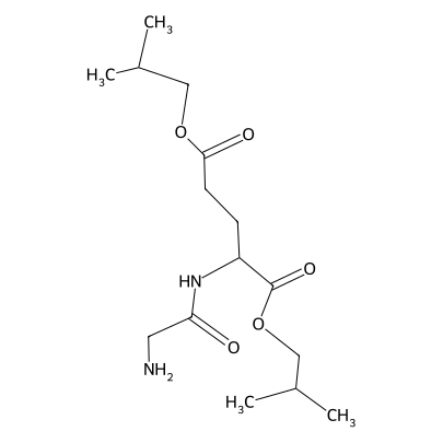 CC(C)COC(=O)CCC(NC(=O)CN)C(=O)OCC(C)C